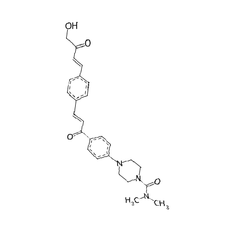 CN(C)C(=O)N1CCN(c2ccc(C(=O)/C=C/c3ccc(/C=C/C(=O)CO)cc3)cc2)CC1